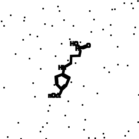 CCCCCCCCc1ccc(NCCC[PH](=O)O)cc1